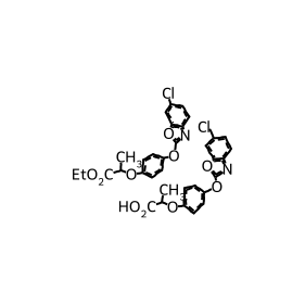 CC(Oc1ccc(Oc2nc3ccc(Cl)cc3o2)cc1)C(=O)O.CCOC(=O)C(C)Oc1ccc(Oc2nc3ccc(Cl)cc3o2)cc1